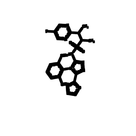 COc1cccc(OC)c1-n1c(NS(=O)(=O)C(C)C(C)c2ncc(F)cn2)nnc1-c1ccco1